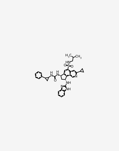 CC(C)CNS(=O)(=O)c1cc2c(c3cnc(C4CC4)cc13)[C@H](Nc1nc3ccccc3[nH]1)C[C@H]2NC(=O)NC1CC1c1ccccc1